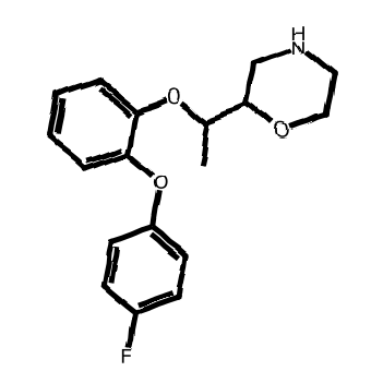 CC(Oc1ccccc1Oc1ccc(F)cc1)C1CNCCO1